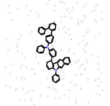 C1=Cc2c(c3cc4ccccc4cc3n2-c2ccccc2)C(c2cccc(N(c3ccccc3)c3ccc(-c4ccccc4-c4ccccc4)cc3)c2)C1